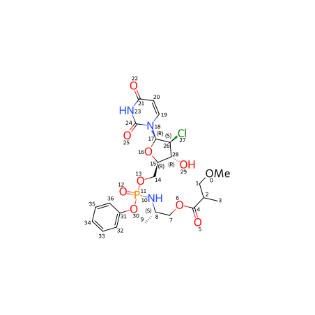 COCC(C)C(=O)OC[C@H](C)NP(=O)(OC[C@H]1O[C@@H](n2ccc(=O)[nH]c2=O)[C@@H](Cl)[C@@H]1O)Oc1ccccc1